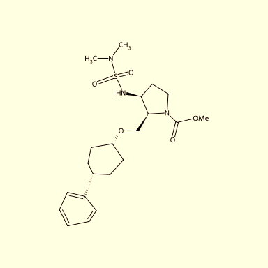 COC(=O)N1CC[C@H](NS(=O)(=O)N(C)C)[C@@H]1CO[C@H]1CC[C@@H](c2ccccc2)CC1